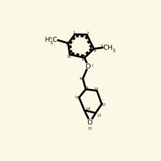 Cc1ccc(C)c(OCC2CCC3OC3C2)c1